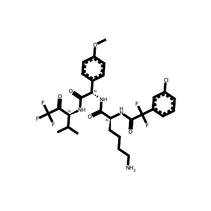 COc1ccc([C@H](NC(=O)[C@H](CCCCN)NC(=O)C(F)(F)c2cccc(Cl)c2)C(=O)N[C@H](C(=O)C(F)(F)F)C(C)C)cc1